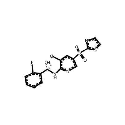 C[C@H](Nc1ncc(S(=O)(=O)c2n[c]cs2)cc1Cl)c1ccccc1F